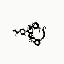 C=CC(=O)N1CCN(c2nc(=O)n3c4nc(c(Cl)cc24)-c2c(F)cccc2SCCCC(=O)Nc2ccnc(C(C)C)c2-3)[C@H](C)C1